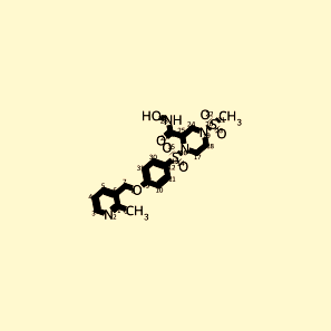 Cc1ncccc1COc1ccc(S(=O)(=O)N2CCN(S(C)(=O)=O)CC2C(=O)NO)cc1